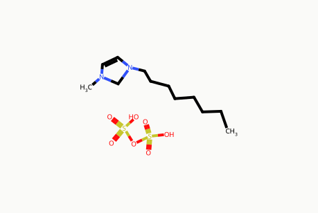 CCCCCCCCN1C=CN(C)C1.O=S(=O)(O)OS(=O)(=O)O